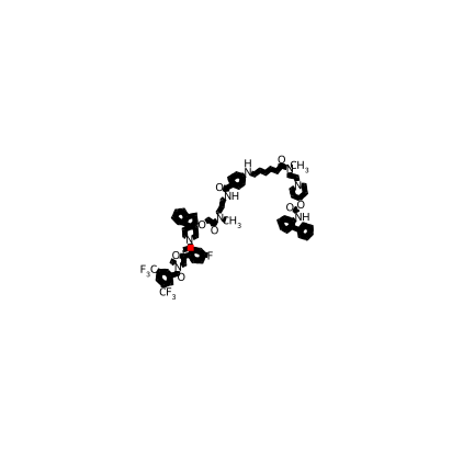 CN(CCN1CCC(OC(=O)Nc2ccccc2-c2ccccc2)CC1)C(=O)CCCCCNc1ccc(C(=O)NCCCN(C)C(=O)CO[C@H]2Cc3ccccc3C23CCN(CC[C@]2(c4ccc(F)cc4)CN(C(=O)c4cc(C(F)(F)F)cc(C(F)(F)F)c4)CO2)CC3)cc1